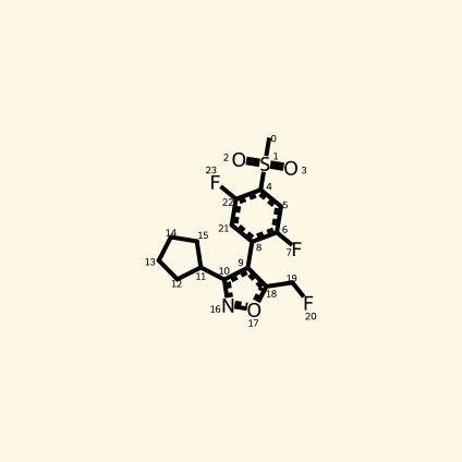 CS(=O)(=O)c1cc(F)c(-c2c(C3CCCC3)noc2CF)cc1F